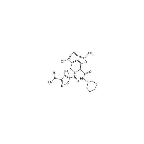 Cc1ccc(C(C(=O)NC2CCCCC2)N(Cc2ccccc2Cl)C(=O)c2snc(C(N)=O)c2N)o1